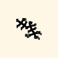 BC(C)(C)C(F)(F)C(F)(OC(F)(F)C(F)(F)S)C(C)C